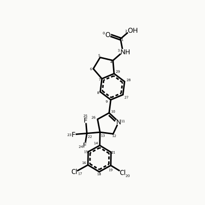 O=C(O)NC1CCc2cc(C3=NCC(c4cc(Cl)cc(Cl)c4)(C(F)(F)F)C3)ccc21